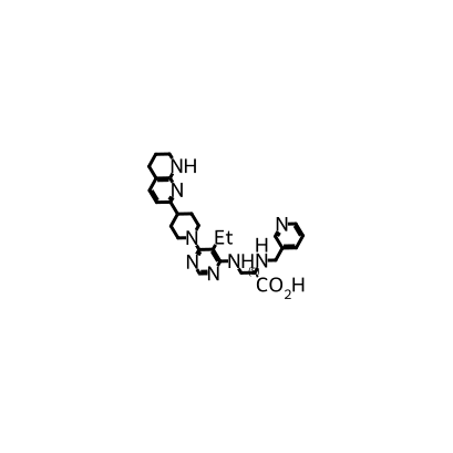 CCc1c(NC[C@H](NCc2cccnc2)C(=O)O)ncnc1N1CCC(c2ccc3c(n2)NCCC3)CC1